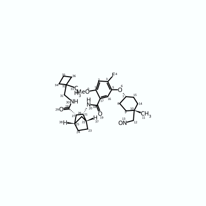 COc1cc(F)c(O[C@H]2CC[C@@](C)(CN=O)CC2)cc1C(=O)N[C@@H]1[C@@H]2CC[C@@H](C2)[C@@H]1C(=O)NCC1(C)CCC1